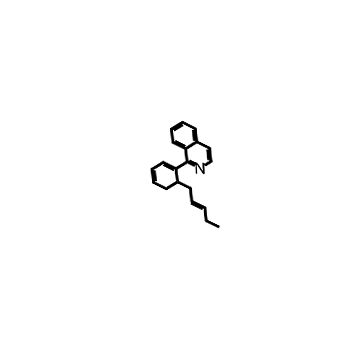 CCC=CCC1CC=CC=C1c1nccc2ccccc12